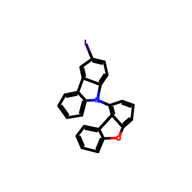 Ic1ccc2c(c1)c1ccccc1n2-c1cccc2oc3ccccc3c12